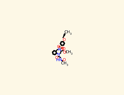 CC#CCOc1ccc(S(=O)(=O)N2Cc3ccccc3N(C(=O)CNC(C)=O)CC2C(=O)OC)cc1